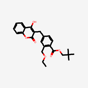 [CH2]COCc1cc(Cc2c(O)c3ccccc3oc2=O)ccc1C(=O)OCC(C)(C)C